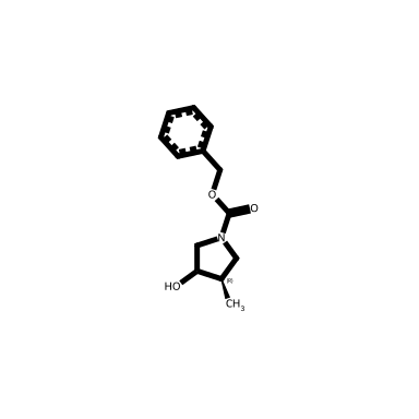 C[C@@H]1CN(C(=O)OCc2ccccc2)CC1O